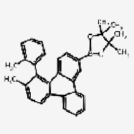 Cc1ccccc1-c1c(C)ccc2c3ccccc3c3cc(B4OC(C)(C)C(C)(C)O4)ccc3c12